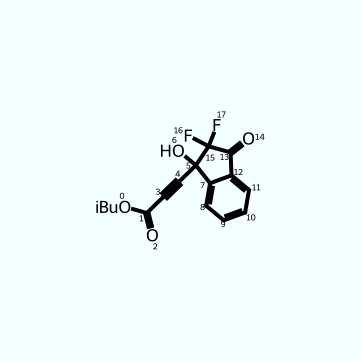 CC(C)COC(=O)C#CC1(O)c2ccccc2C(=O)C1(F)F